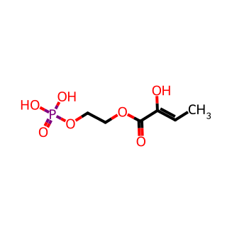 CC=C(O)C(=O)OCCOP(=O)(O)O